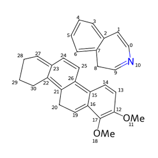 C1=Cc2ccccc2CC=N1.COc1ccc2c(c1OC)=CCc1c3c(ccc1=2)=CCCC3